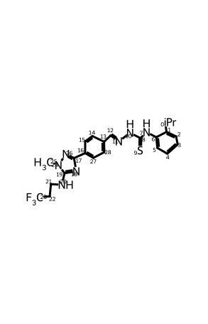 CC(C)c1ccccc1NC(=S)NN=Cc1ccc(-c2nc(NCCC(F)(F)F)n(C)n2)cc1